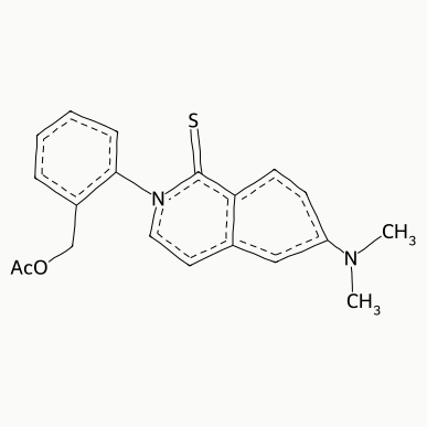 CC(=O)OCc1ccccc1-n1ccc2cc(N(C)C)ccc2c1=S